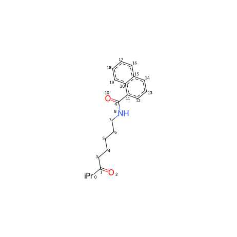 CC(C)C(=O)CCCCCNC(=O)c1cccc2ccccc12